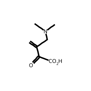 C=C(CN(C)C)C(=O)C(=O)O